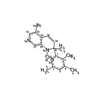 Cc1cc(C)c(C)c(C2(C)C=Cc3c(C(C)C)cncc3N2C)c1